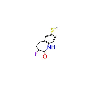 CSc1ccc2c(c1)CCC(I)C(=O)N2